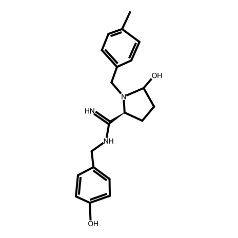 Cc1ccc(CN2C(O)CC[C@H]2C(=N)NCc2ccc(O)cc2)cc1